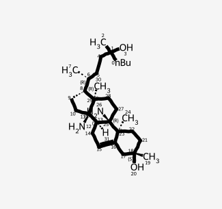 CCCCC(C)(O)CC[C@@H](C)[C@H]1CC[C@@]2(N)[C@@H]3CC=C4C[C@@](C)(O)CC[C@]4(C)[C@@]3(N)CC[C@]12C